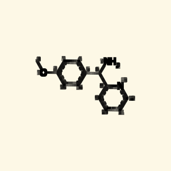 COc1ccc(C(N)c2ccccn2)cc1